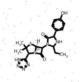 CCC1NC(c2ccc(O)cc2)C(=O)N1C1C(=O)N2C(c3nnn[nH]3)C(C)(C)S[C@@H]12